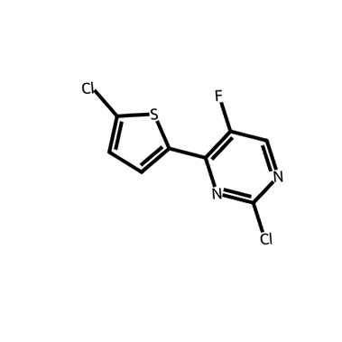 Fc1cnc(Cl)nc1-c1ccc(Cl)s1